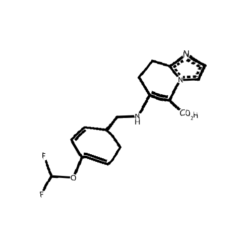 O=C(O)C1=C(NCC2C=CC(OC(F)F)=CC2)CCc2nccn21